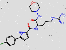 N=C(N)NCCCC(NC(=O)c1ccc(-c2ccc(Cl)cc2)[nH]1)C(=O)NN1CCOCC1